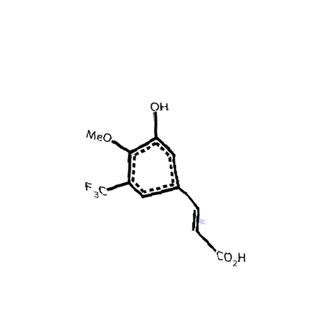 COc1c(O)cc(/C=C/C(=O)O)cc1C(F)(F)F